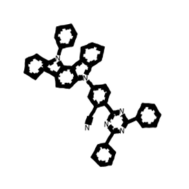 N#Cc1cc(-n2c3ccccc3c3c2ccc2c4ccccc4n(-c4ccccc4)c23)ccc1-c1nc(-c2ccccc2)nc(-c2ccccc2)n1